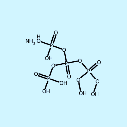 N.O=P(O)(O)OP(=O)(OP(=O)(O)O)OP(=O)(OO)OO